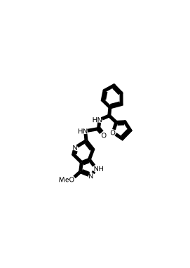 COc1n[nH]c2cc(NC(=O)NC(c3ccccc3)c3ccco3)ncc12